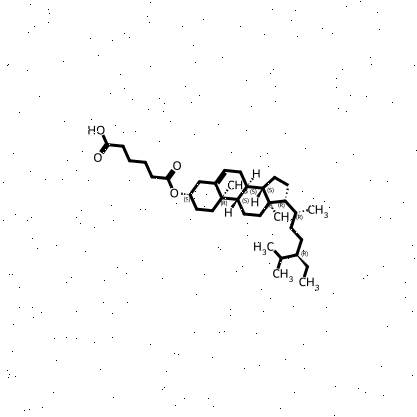 CC[C@H](CC[C@@H](C)[C@H]1CC[C@H]2[C@@H]3CC=C4C[C@@H](OC(=O)CCCCC(=O)O)CC[C@]4(C)[C@H]3CC[C@]12C)C(C)C